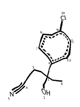 CC(O)(CC#N)c1ccc(Cl)cc1